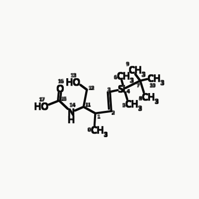 CC(C=C[Si](C)(C)C(C)(C)C)C(CO)NC(=O)O